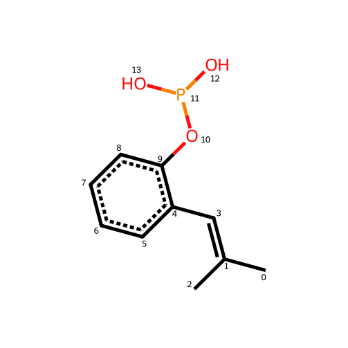 CC(C)=Cc1ccccc1OP(O)O